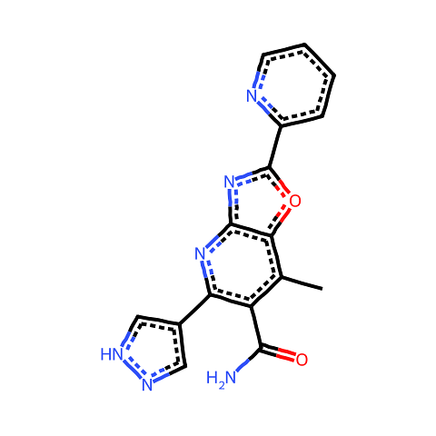 Cc1c(C(N)=O)c(-c2cn[nH]c2)nc2nc(-c3ccccn3)oc12